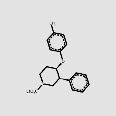 CCOC(=O)N1CC[C@@H](Oc2ccc(C)cc2)[C@@H](c2ccccc2)C1